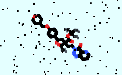 CC(=O)C(CCn1nnc2cccnc2c1=O)(CC(=O)c1ccc(OCC2CCOCC2)cc1)C(=O)OC(C)(C)C